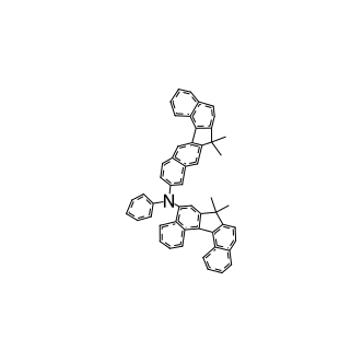 CC1(C)c2cc3cc(N(c4ccccc4)c4cc5c(c6ccccc46)-c4c(ccc6ccccc46)C5(C)C)ccc3cc2-c2c1ccc1ccccc21